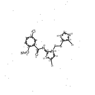 COc1ccc(Cl)cc1C(=O)/N=c1\sc(C)cn1CCc1scnc1C